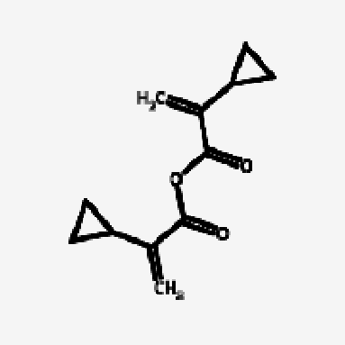 C=C(C(=O)OC(=O)C(=C)C1CC1)C1CC1